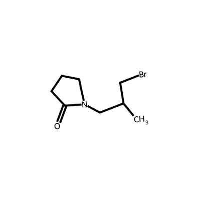 CC(CBr)CN1CCCC1=O